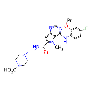 CC(C)Oc1cc(F)ccc1Nc1ncnc2cc(C(=O)NCCN3CCN(C(=O)O)CC3)n(C)c12